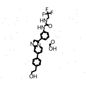 O=C(NCC(F)(F)F)Nc1cccc(-c2cnc3cc(-c4ccc(CCO)cc4)ccn23)c1.O=CO